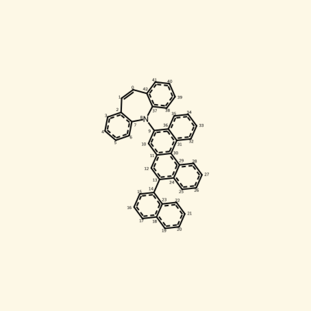 C1=Cc2ccccc2N(c2cc3cc(-c4cccc5ccccc45)c4ccccc4c3c3ccccc23)c2ccccc21